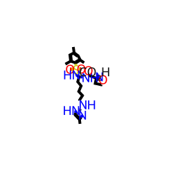 Cc1cc(C)c(S(=O)(=O)NC(CCCCCNc2nc(C)c[nH]2)(NC(=O)C2=NOCC2)C(=O)O)c(C)c1